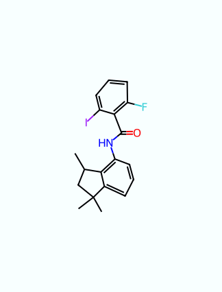 CC1CC(C)(C)c2cccc(NC(=O)c3c(F)cccc3I)c21